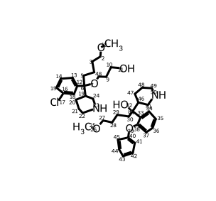 COCCCCC(OCCCO)(c1cccc(Cl)c1)C1CCCNC1.COCCCC[C@@](O)(c1ccccc1Oc1ccccc1)C1CCCNC1